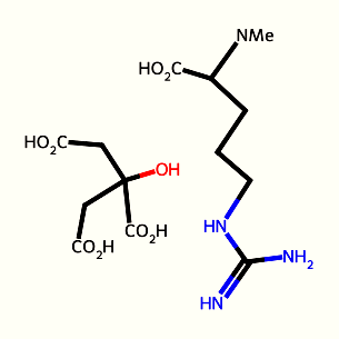 CNC(CCCNC(=N)N)C(=O)O.O=C(O)CC(O)(CC(=O)O)C(=O)O